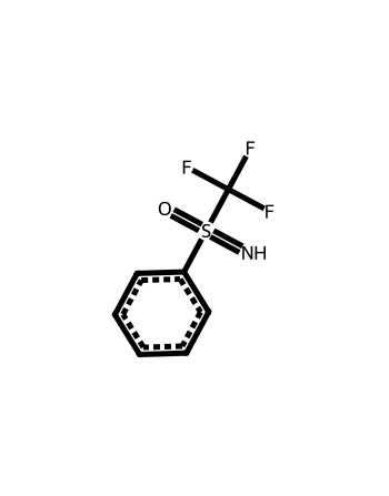 N=S(=O)(c1ccccc1)C(F)(F)F